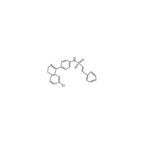 O=S(=O)(C=Cc1ccccc1)Nc1ccc(C2=NCCc3ccc(Cl)cc32)cc1